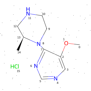 COc1cncnc1N1CCNC[C@@H]1C.Cl